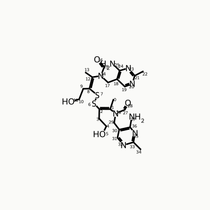 CC(=C(CCO)SSC(CCO)=C(C)N(C=O)Cc1cnc(C)nc1N)N(C=O)Cc1cnc(C)nc1N